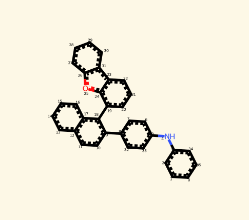 c1ccc(Nc2ccc(-c3ccc4ccccc4c3-c3cccc4c3oc3ccccc34)cc2)cc1